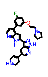 Fc1cc(OCCN2CCCC2)cc(-c2ccnc3[nH]c(-c4n[nH]c5ncc(C6=CCNCC6)cc45)cc23)c1